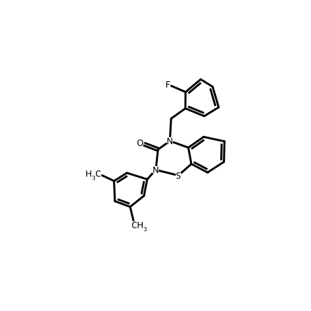 Cc1cc(C)cc(N2Sc3ccccc3N(Cc3ccccc3F)C2=O)c1